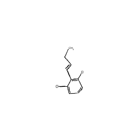 CCC=Cc1c(Cl)cccc1Cl